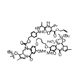 C=CCOC(=O)C(=O)C(NC(=O)C(C)NNc1ccc(COC(=O)N2CC3C(O[Si](C)(C)C(C)(C)C)C(C)=CN3C(=O)c3cc(OC)c(OCCCCCOc4cc5c(cc4OC)C(=O)N4C=C(C)CC4C(O[Si](C)(C)C(C)(C)C)N5C(=O)O)cc32)cc1)C(C)C